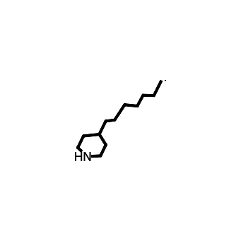 [CH2]CCCCCCC1CCNCC1